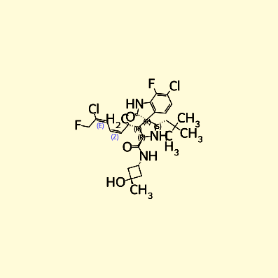 C=C(/C=C\C=C(\Cl)CF)[C@H]1[C@H](C(=O)N[C@H]2C[C@@](C)(O)C2)N[C@@H](CC(C)(C)C)[C@@]12C(=O)Nc1c2ccc(Cl)c1F